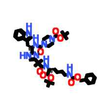 CC(C)(C)OC(=O)[C@@H](CCCCNC(=O)OCc1ccccc1)NC(=O)C(C)(C)c1c[nH]c([C@@H](Cc2c[nH]c3ccccc23)NC(=O)N2CCN(C(=O)OC(C)(C)C)CC2)n1